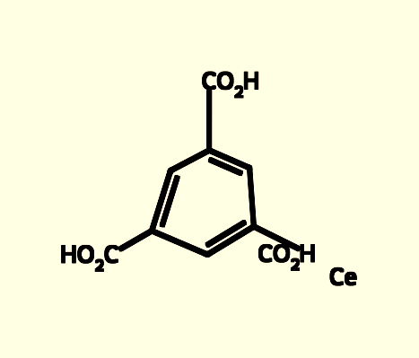 O=C(O)c1cc(C(=O)O)cc(C(=O)O)c1.[Ce]